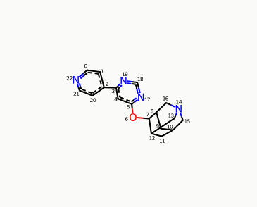 c1cc(-c2cc(OC3C4CC5CC3CN(C5)C4)ncn2)ccn1